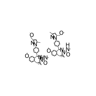 CNC(=O)N1N=C(c2ccc(-n3nc(C)cc3COC)cc2)c2cc(OC)ccc2C[C@@H]1C.CNC(=O)N1N=C(c2ccc(-n3nc(COC)cc3C)cc2)c2cc(OC)ccc2C[C@@H]1C